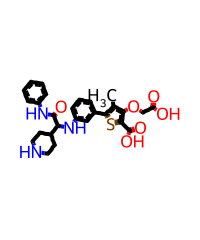 Cc1c(-c2cccc(NC(C(=O)Nc3ccccc3)C3CCNCC3)c2)sc(C(=O)O)c1OCC(=O)O